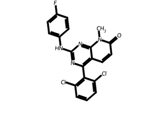 Cn1c(=O)ccc2c(-c3c(Cl)cccc3Cl)nc(Nc3ccc(F)cc3)nc21